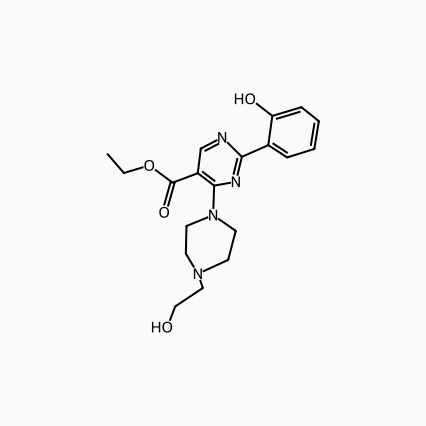 CCOC(=O)c1cnc(-c2ccccc2O)nc1N1CCN(CCO)CC1